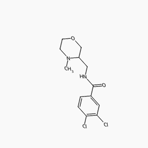 CN1CCOCC1CNC(=O)c1ccc(Cl)c(Cl)c1